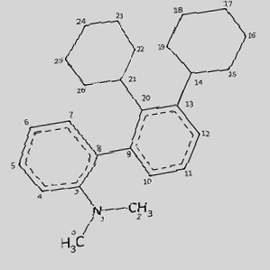 CN(C)c1ccccc1-c1cccc(C2CCCCC2)c1C1CCCCC1